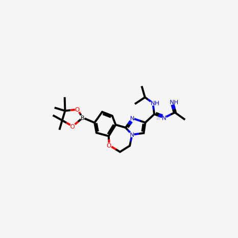 CC(=N)/N=C(\NC(C)C)c1cn2c(n1)-c1ccc(B3OC(C)(C)C(C)(C)O3)cc1OCC2